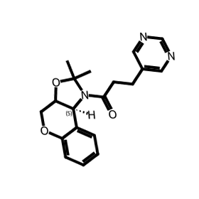 CC1(C)OC2COc3ccccc3[C@@H]2N1C(=O)CCc1cncnc1